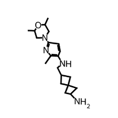 Cc1nc(N2CC(C)OC(C)C2)ccc1NCC1CC2(CC(N)C2)C1